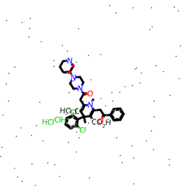 CN1C(CC(=O)c2ccccc2)=C(C(=O)O)C(C)(c2c(Cl)cccc2Cl)C(C(=O)O)=C1CC(=O)N1CCN(C2CN3CCC2CC3)CC1.Cl.Cl